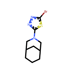 Brc1nnc(N2CC3CCCC(C3)C2)s1